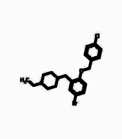 CCN1CCN(Cc2cc(Br)ccc2OCc2ccc(Cl)cc2)CC1